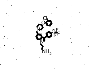 NCCCn1cc(-c2ccc(OC(F)(F)F)cc2)c2cc(CN3CCC(Oc4ccccc4Cl)CC3)ccc21